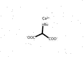 CCCCC(C(=O)[O-])C(=O)[O-].[Ca+2]